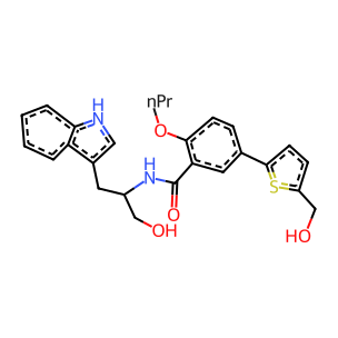 CCCOc1ccc(-c2ccc(CO)s2)cc1C(=O)NC(CO)Cc1c[nH]c2ccccc12